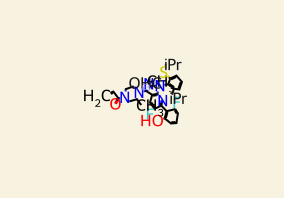 C=CC(=O)N1CCN(/C(=N/C)c2cc(F)c(-c3c(O)cccc3F)nc2N(C=O)c2c(SC(C)C)cccc2C(C)C)C(C)C1